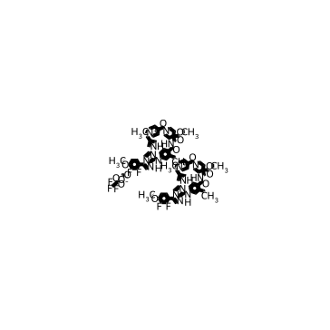 CCc1cc(Nc2nccn3c(-c4ccc(OC)c(F)c4F)cnc23)ccc1C(=O)NCC1(C(=O)OC)CCN(C(=O)C2CC[N+](C)(CC3CNC3)CC2)CC1.CCc1cc(Nc2nccn3c(-c4ccc(OC)c(F)c4F)cnc23)ccc1C(=O)NCC1(C(=O)OC)CCN(C(=O)C2CC[N+](C)(CC3CNC3)CC2)CC1.O=C([O-])C(F)(F)F.O=C[O-]